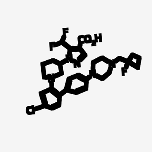 O=C(O)c1cnn(C2CCCN(c3cc(Cl)ccc3-c3ccc(N4CCN(CC5(F)CCC5)CC4)cc3)C2)c1C(F)F